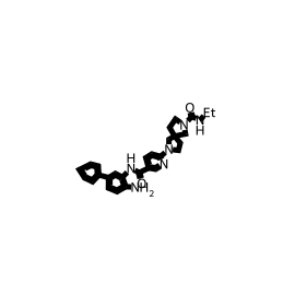 CCNC(=O)N1CCC2(CCN(c3ccc(C(=O)Nc4cc(-c5ccccc5)ccc4N)cn3)C2)C1